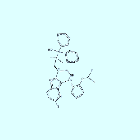 CC(C)(C[C@H]1CN[C@H](c2ccccc2OC(F)F)c2c1nc1ccc(Cl)nn21)[Si](O)(c1ccccc1)c1ccccc1